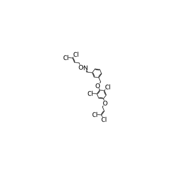 ClC(Cl)=CCON=Cc1cccc(COc2c(Cl)cc(OCC=C(Cl)Cl)cc2Cl)c1